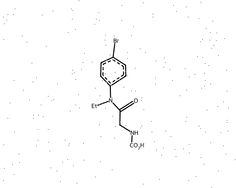 CCN(C(=O)CNC(=O)O)c1ccc(Br)cc1